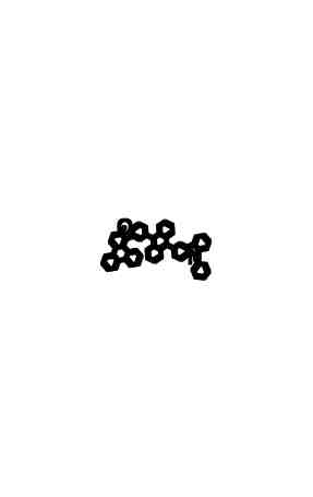 c1ccc(-n2c3ccccc3c3cc(-c4c5ccccc5c(-c5ccc6oc7ccc8c9ccccc9c9ccccc9c8c7c6c5)c5ccccc45)ccc32)cc1